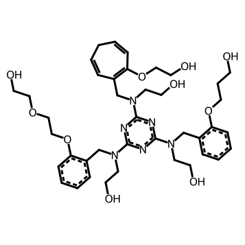 OCCCOc1ccccc1CN(CCO)c1nc(N(CCO)CC2=C(OCCO)C=CCC=C2)nc(N(CCO)Cc2ccccc2OCCOCCO)n1